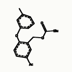 CC(=O)c1ccc(Oc2cccc(C)c2)c(COC(=O)C(C)(C)C)c1